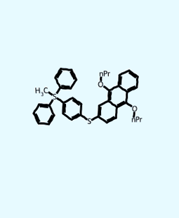 CCCOc1c2ccccc2c(OCCC)c2cc(Sc3ccc(S(C)(c4ccccc4)c4ccccc4)cc3)ccc12